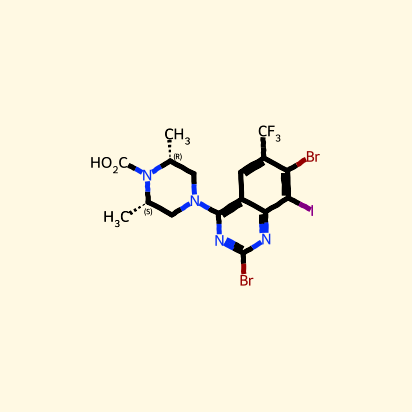 C[C@@H]1CN(c2nc(Br)nc3c(I)c(Br)c(C(F)(F)F)cc23)C[C@H](C)N1C(=O)O